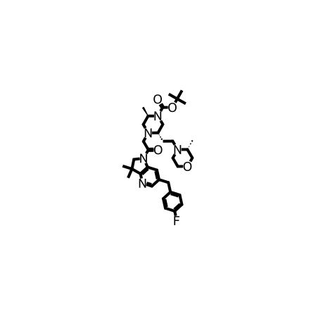 C[C@@H]1COCCN1CC[C@H]1CN(C(=O)OC(C)(C)C)[C@H](C)CN1CC(=O)N1CC(C)(C)c2ncc(Cc3ccc(F)cc3)cc21